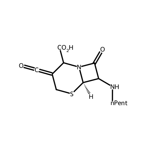 CCCCCNC1C(=O)N2C(C(=O)O)C(=C=O)CS[C@H]12